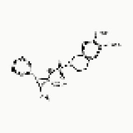 COc1cc2c(cc1OC)CN(S(=O)(=O)N[C@@]1(C(=O)O)C(C)[C@@H]1c1ccccc1)CC2